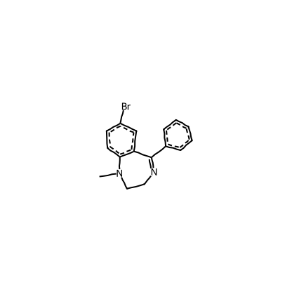 CN1CCN=C(c2ccccc2)c2cc(Br)ccc21